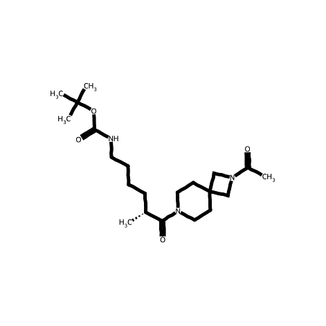 CC(=O)N1CC2(CCN(C(=O)[C@H](C)CCCCNC(=O)OC(C)(C)C)CC2)C1